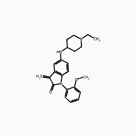 C=C1C(=O)N(c2ccccc2OC)c2ccc(NC3CCN(CC)CC3)cc21